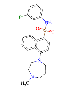 CN1CCCN(c2ccc(S(=O)(=O)Nc3cccc(F)c3)c3ccccc23)CC1